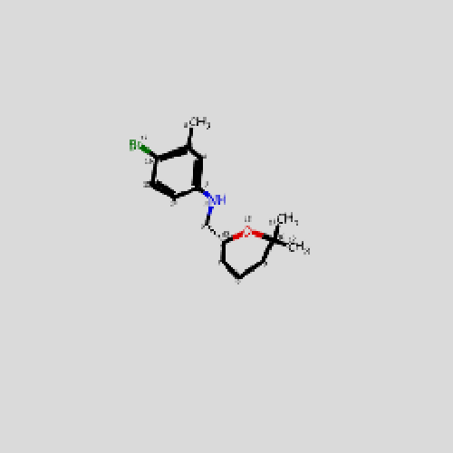 Cc1cc(NC[C@H]2CCCC(C)(C)O2)ccc1Br